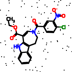 CCOC(=O)C1=CN(C(=O)c2ccc(Cl)c([N+](=O)[O-])c2)CCc2c1[nH]c1ccccc21